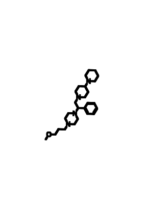 COCCCN1CCN(C(CN2CCC(N3CCCCC3)CC2)c2ccccc2)CC1